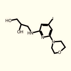 OCC(O)CNc1cc(I)cc(N2CCOCC2)n1